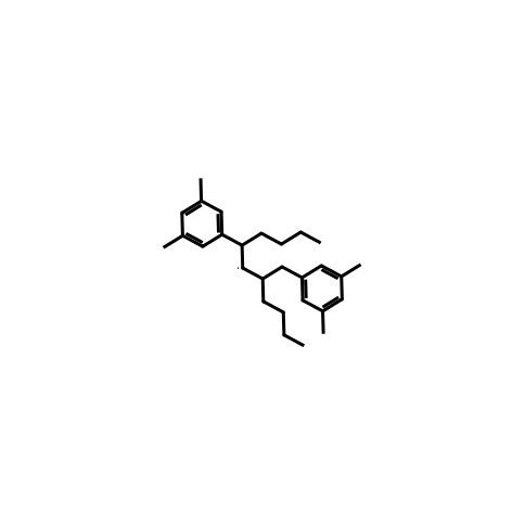 CCCCC([CH]C(CCCC)c1cc(C)cc(C)c1)Cc1cc(C)cc(C)c1